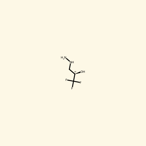 NNC[C@@H](O)C(F)(F)F